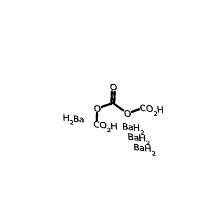 O=C(O)OC(=O)OC(=O)O.[BaH2].[BaH2].[BaH2].[BaH2]